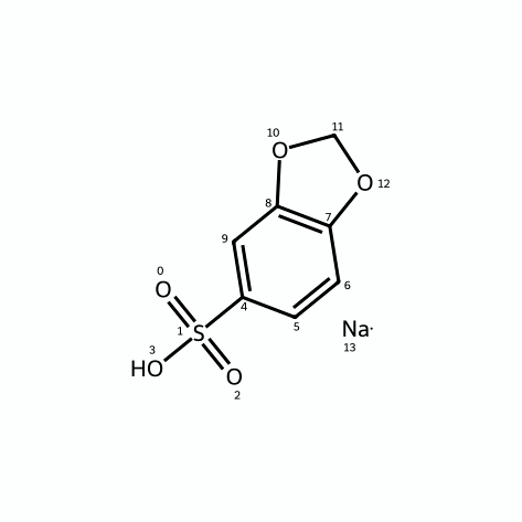 O=S(=O)(O)c1ccc2c(c1)OCO2.[Na]